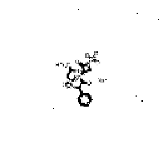 NC(CS(=O)(=O)NC(C(=O)NC1CN(S(=O)(=O)[O-])C1=O)c1ccccc1)C(=O)O.[Na+]